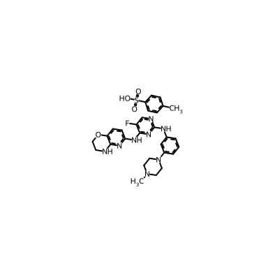 CN1CCN(c2cccc(Nc3ncc(F)c(Nc4ccc5c(n4)NCCO5)n3)c2)CC1.Cc1ccc(S(=O)(=O)O)cc1